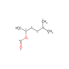 CC(C)CCC(C)OC=O